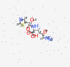 COC(C(=O)NC(CCC(=O)C=[N+]=[N-])C(=O)O)c1cncs1